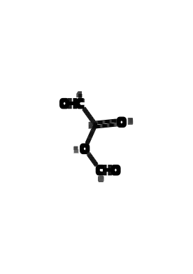 O=COC(=O)C=O